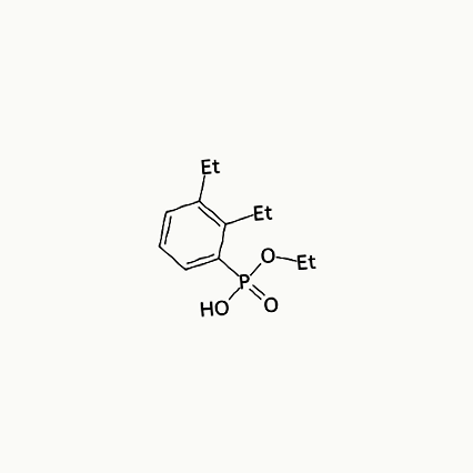 CCOP(=O)(O)c1cccc(CC)c1CC